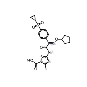 Cc1nc(NC(=O)/C(=N/OC2CCCC2)c2ccc(S(=O)(=O)C3CC3)cc2)sc1C(=O)O